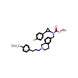 CCOC(=O)c1ccc(CCCN2CCc3cc(CN(C(=O)OC(C)(C)C)C4CC4c4ccc(F)cc4)ccc3C2)cc1